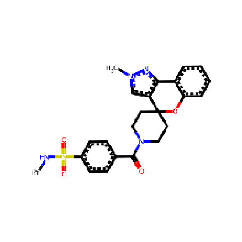 CC(C)NS(=O)(=O)c1ccc(C(=O)N2CCC3(CC2)Oc2ccccc2-c2nn(C)cc23)cc1